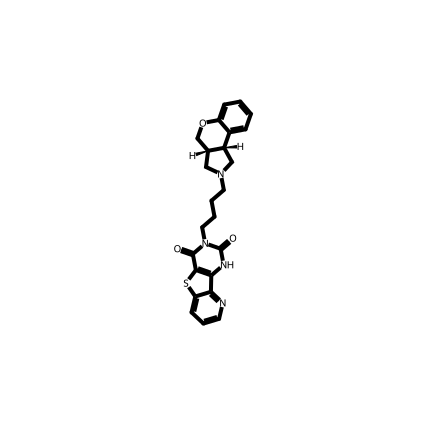 O=c1[nH]c2c(sc3cccnc32)c(=O)n1CCCCN1C[C@@H]2COc3ccccc3[C@@H]2C1